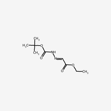 CCOC(=O)C=NNC(=O)OC(C)(C)C